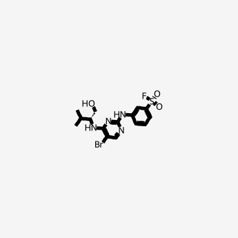 CC(C)[C@H](CO)Nc1nc(Nc2cccc(S(=O)(=O)F)c2)ncc1Br